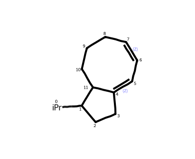 CC(C)C1CC/C2=C/C=C\CCCC21